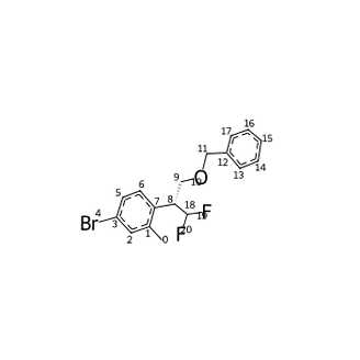 Cc1cc(Br)ccc1[C@H](COCc1ccccc1)C(F)F